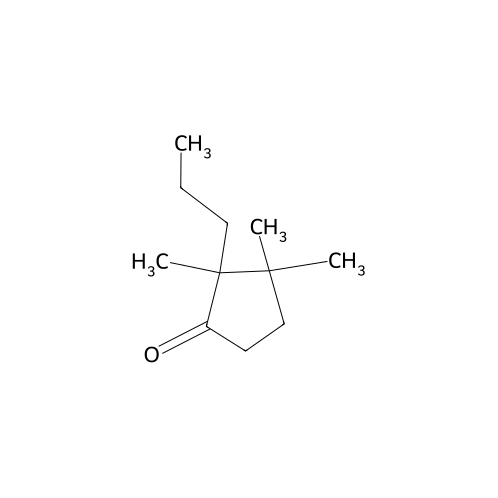 CCCC1(C)C(=O)CCC1(C)C